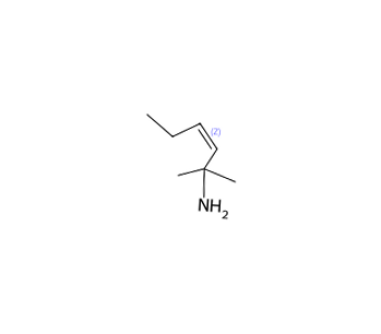 CC/C=C\C(C)(C)N